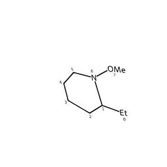 [CH2]CC1CCCCN1OC